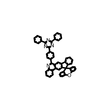 c1ccc(-c2nc(-c3ccccc3)nc(-c3ccc(-c4nc5ccccc5c5cc6c(cc45)-c4ccccc4C64c5ccccc5Oc5ccccc54)cc3)n2)cc1